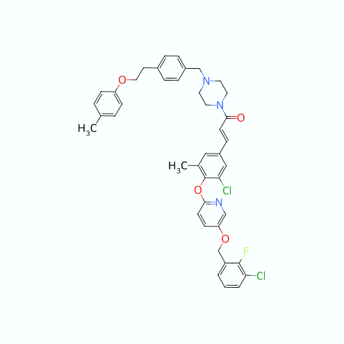 Cc1ccc(OCCc2ccc(CN3CCN(C(=O)C=Cc4cc(C)c(Oc5ccc(OCc6cccc(Cl)c6F)cn5)c(Cl)c4)CC3)cc2)cc1